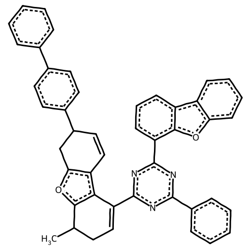 CC1CC=C(c2nc(-c3ccccc3)nc(-c3cccc4c3oc3ccccc34)n2)c2c1oc1c2C=CC(c2ccc(-c3ccccc3)cc2)C1